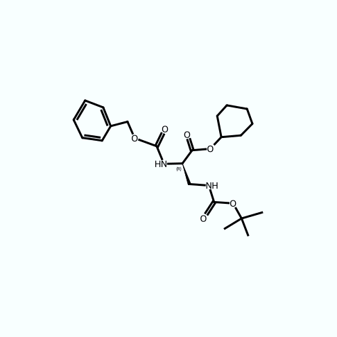 CC(C)(C)OC(=O)NC[C@@H](NC(=O)OCc1ccccc1)C(=O)OC1CCCCC1